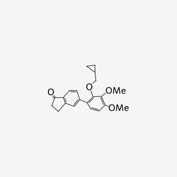 COc1ccc(-c2ccc3c(c2)CCC3=O)c(OCC2CC2)c1OC